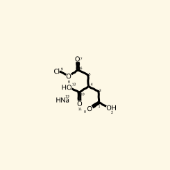 O=C(O)CC(CC(=O)OCl)C(=O)O.[NaH]